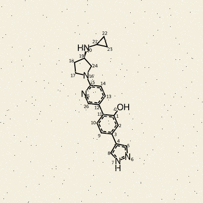 Oc1cc(-c2cn[nH]c2)ccc1-c1ccc(N2CC[C@@H](NC3CC3)C2)nc1